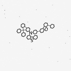 c1ccc(-c2cccc3c2oc2ccc(-c4ccc(N(c5ccc6c(c5)C(c5ccccc5)(c5ccccc5)c5ccccc5-6)c5cccc6sc7ccccc7c56)cc4)cc23)cc1